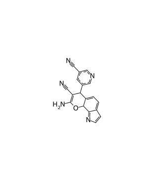 N#CC1=C(N)OC2C(=CC=C3C=CN=C32)C1c1cncc(C#N)c1